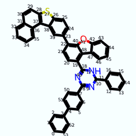 c1ccc(-c2ccc(C3=NC(c4ccccc4)NC(c4ccc(-c5ccc6sc7ccc8ccccc8c7c6c5)c5oc6ccccc6c45)=N3)cc2)cc1